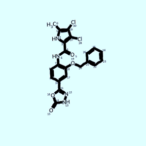 Cc1[nH]c(C(=O)Nc2ccc(-c3n[nH]c(=O)o3)cc2OCc2ccccc2)c(Cl)c1Cl